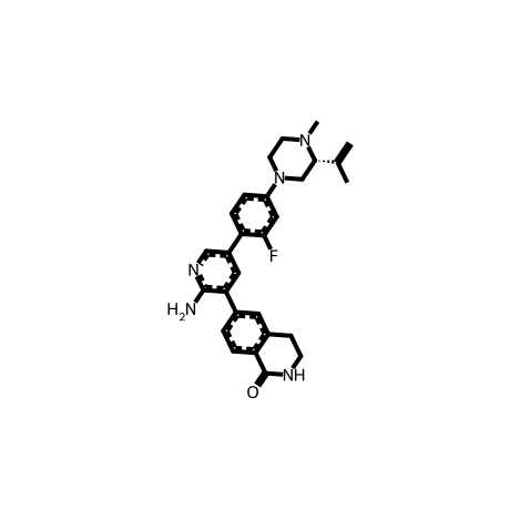 C=C(C)[C@@H]1CN(c2ccc(-c3cnc(N)c(-c4ccc5c(c4)CCNC5=O)c3)c(F)c2)CCN1C